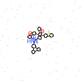 c1ccc(C2=NC(c3cccc4oc5ccc(-c6ccc(-c7ccc8c(c7)sc7ccccc78)c7oc8ccccc8c67)cc5c34)NC(c3ccc4c5ccccc5c5ccccc5c4c3)=N2)cc1